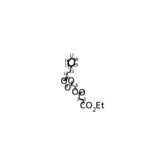 CCOC(=O)/C=C/C(=O)OCC(=O)OC(=O)CCc1ccccc1